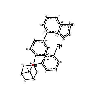 N#Cc1cccc(CN2C3CC2CN(c2ccc(-c4ncnc5[nH]ccc45)cn2)C3)c1